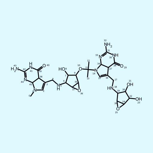 CN1C=C(CNC2C(O)C(OC(C)(C)N3C=C(CNC4C(O)C(O)C5OC45)C4C(=O)NC(N)=NC43)C3OC23)C2C(=O)NC(N)=NC21